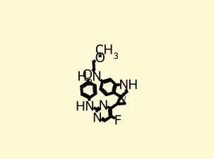 COCCOc1ccc(Nc2ncc(F)c(C3C[C@@]34CNc3cc(N)ccc34)n2)cc1